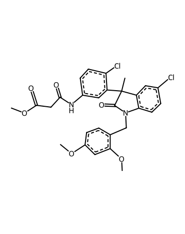 COC(=O)CC(=O)Nc1ccc(Cl)c(C2(C)C(=O)N(Cc3ccc(OC)cc3OC)c3ccc(Cl)cc32)c1